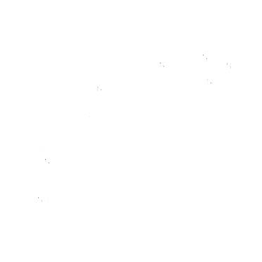 CC(C)Oc1cnc(NC2CCN(c3ccc(CN4CCC(O)(c5ccc6c(c5)CN(C5CCC(=O)NC5=O)C6=O)CC4)cc3)CC2)nc1